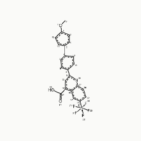 COc1ccc(-c2ccc(-c3cc(C(=O)O)c4cc(S(F)(F)(F)(F)F)ccc4n3)cc2)cc1